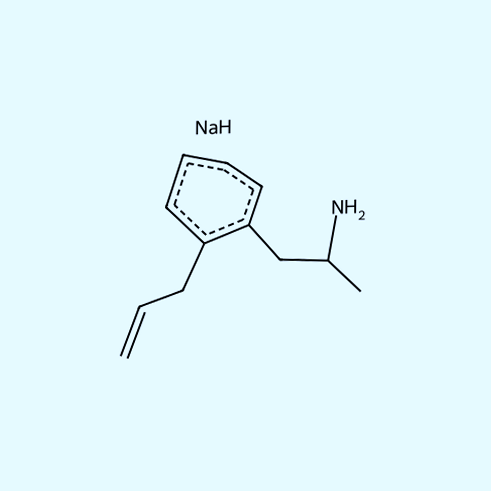 C=CCc1ccccc1CC(C)N.[NaH]